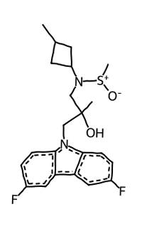 CC1CC(N(CC(C)(O)Cn2c3ccc(F)cc3c3cc(F)ccc32)[S+](C)[O-])C1